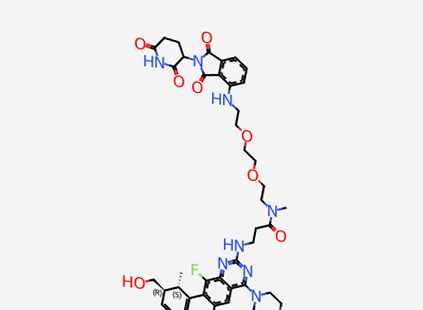 C[C@@H]1C(c2c(Cl)cc3c(N4CCNCC4)nc(NCCC(=O)N(C)CCOCCOCCNc4cccc5c4C(=O)N(C4CCC(=O)NC4=O)C5=O)nc3c2F)=C(F)C=C[C@H]1CO